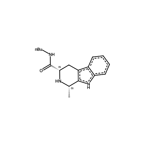 CCCCNC(=O)[C@@H]1Cc2c([nH]c3ccccc23)[C@H](C)N1